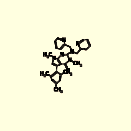 Cc1cc(C)c(-c2cn(C)c3nc(N(Cc4ccccn4)Cc4ccccn4)n(C)c(=O)c23)c(C)c1